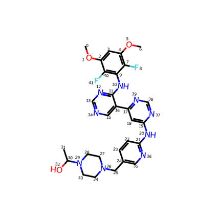 COc1cc(OC)c(F)c(Nc2ncncc2-c2cc(Nc3ccc(CN4CCN(C(C)O)CC4)cn3)ncn2)c1F